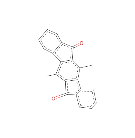 Cc1c2c(=O)c3ccccc3c2c(C)c2c(=O)c3ccccc3c12